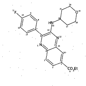 CCOC(=O)c1ccc2nc(-c3ccc(F)cc3)c(NC3CCOCC3)nc2c1